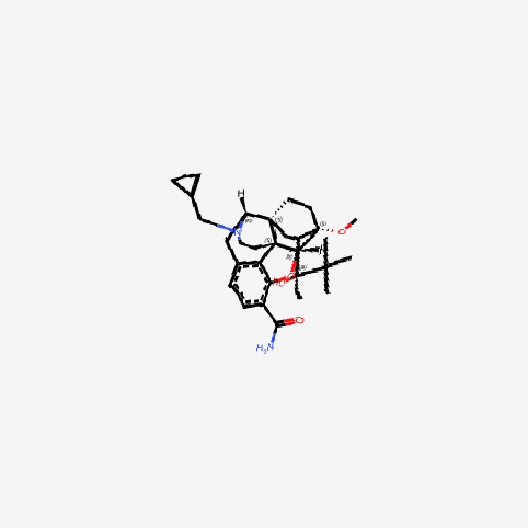 CO[C@@]12CC[C@@]3(CC1[C@@](C)(O)C(C)(C)C)[C@H]1Cc4ccc(C(N)=O)c5c4[C@@]3(CCN1CC1CC1)[C@H]2O5